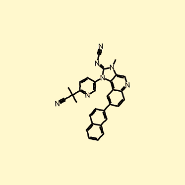 Cn1c(=NC#N)n(-c2ccc(C(C)(C)C#N)nc2)c2c3cc(-c4ccc5ccccc5c4)ccc3ncc21